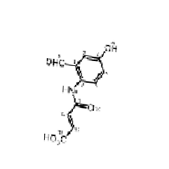 O=Cc1cc(O)ccc1NC(=O)/C=C/C(=O)O